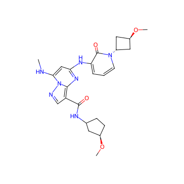 CNc1cc(Nc2cccn([C@H]3C[C@H](OC)C3)c2=O)nc2c(C(=O)NC3CC[C@@H](OC)C3)cnn12